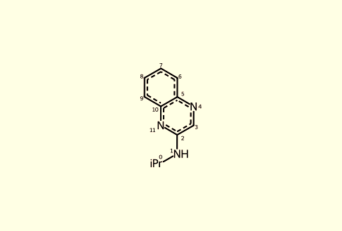 CC(C)Nc1cnc2ccccc2n1